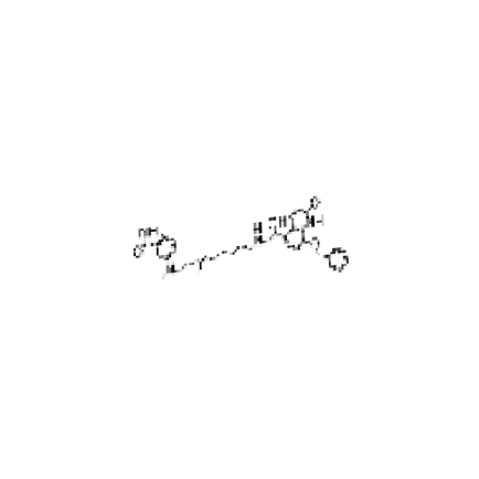 CN(CCOCCCCCCNCC(O)c1ccc(OCc2ccccc2)c2[nH]c(=O)ccc12)c1cccc(C(N)=O)c1